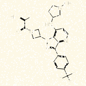 C=C(F)C(=O)N1CC(n2nc(-c3ccc(C(F)(F)F)cc3)c3nccc(NC4CCN(C)C4)c32)C1